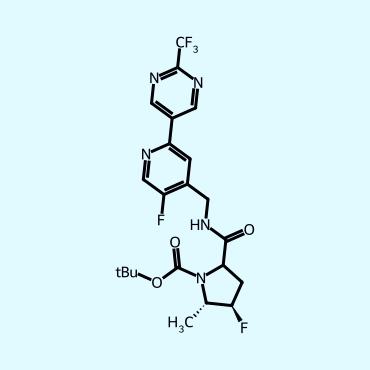 C[C@H]1[C@H](F)CC(C(=O)NCc2cc(-c3cnc(C(F)(F)F)nc3)ncc2F)N1C(=O)OC(C)(C)C